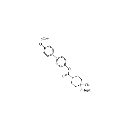 CCCCCCCCOc1ccc(-c2ccc(OC(=O)C3CCC(C#N)(CCCCCCC)CC3)cc2)cc1